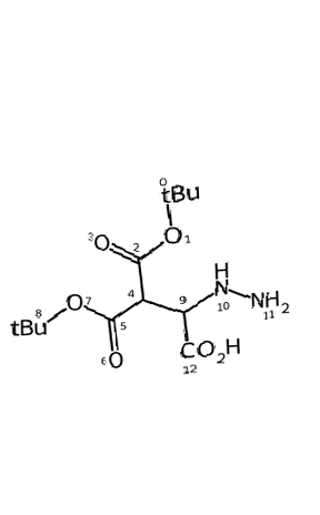 CC(C)(C)OC(=O)C(C(=O)OC(C)(C)C)C(NN)C(=O)O